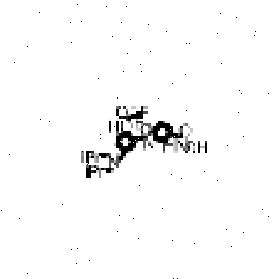 CC(C)CN(Cc1cccc(-c2nc3cc(C(=O)NO)ccc3o2)c1)CC(C)C.O=C(O)C(F)(F)F